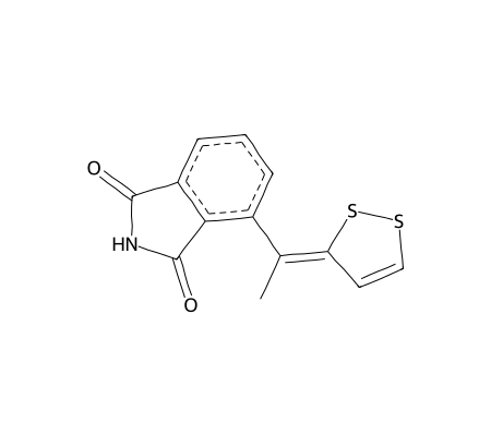 CC(=C1C=CSS1)c1cccc2c1C(=O)NC2=O